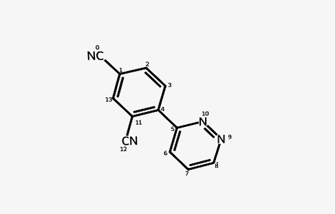 N#Cc1ccc(-c2cc[c]nn2)c(C#N)c1